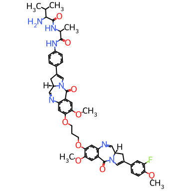 COc1ccc(C2=CN3C(=O)c4cc(OC)c(OCCCOc5cc6c(cc5OC)C(=O)N5C=C(c7ccc(NC(=O)C(C)NC(=O)C(N)C(C)C)cc7)C[C@H]5C=N6)cc4N=C[C@@H]3C2)cc1F